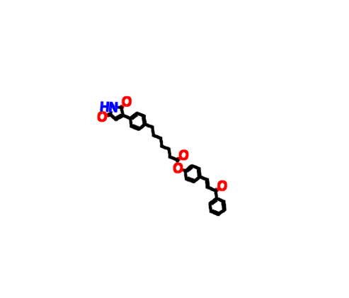 O=C1C=C(c2ccc(CCCCCCC(=O)Oc3ccc(C=CC(=O)c4ccccc4)cc3)cc2)C(=O)N1